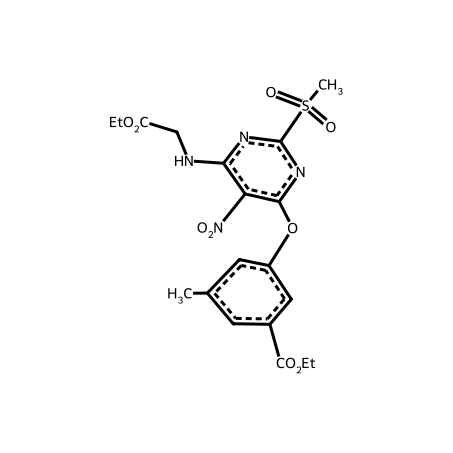 CCOC(=O)CNc1nc(S(C)(=O)=O)nc(Oc2cc(C)cc(C(=O)OCC)c2)c1[N+](=O)[O-]